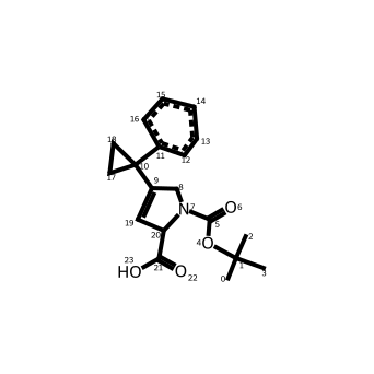 CC(C)(C)OC(=O)N1CC(C2(c3ccccc3)CC2)=CC1C(=O)O